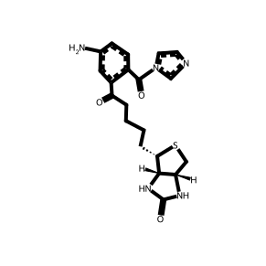 Nc1ccc(C(=O)n2ccnc2)c(C(=O)CCCC[C@@H]2SC[C@@H]3NC(=O)N[C@@H]32)c1